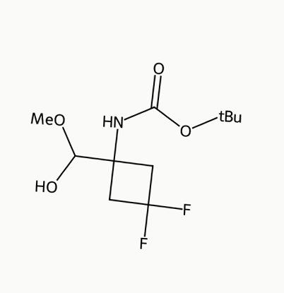 COC(O)C1(NC(=O)OC(C)(C)C)CC(F)(F)C1